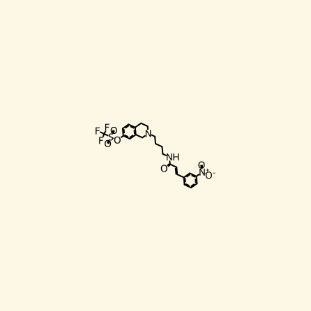 O=C(/C=C/c1cccc([N+](=O)[O-])c1)NCCCCN1CCc2ccc(OS(=O)(=O)C(F)(F)F)cc2C1